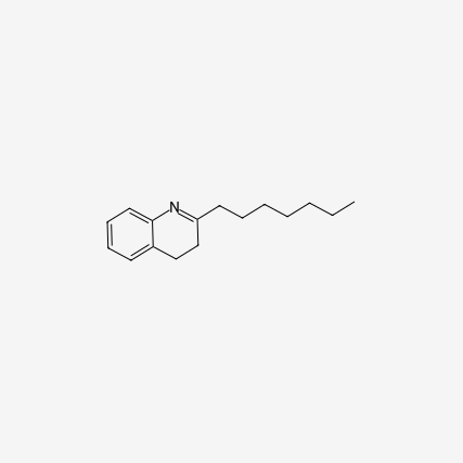 CCCCCCCC1=Nc2ccccc2CC1